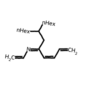 C=C/C=C\C(CC(CCCCCC)CCCCCC)=N/C=C